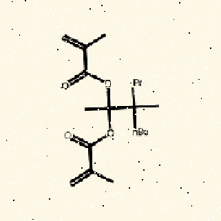 [CH2]CCCC(C)([C](C)C)C(C)(OC(=O)C(=C)C)OC(=O)C(=C)C